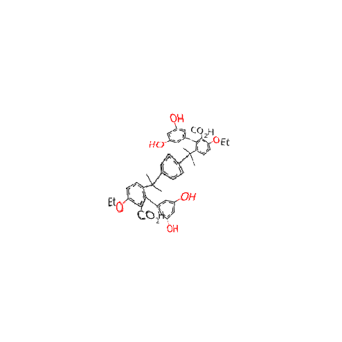 CCOc1ccc(C(C)(C)c2ccc(C(C)(C)c3ccc(OCC)c(C(=O)O)c3-c3cc(O)cc(O)c3)cc2)c(-c2cc(O)cc(O)c2)c1C(=O)O